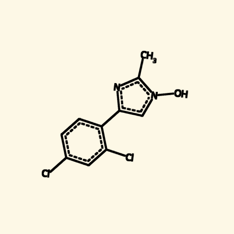 Cc1nc(-c2ccc(Cl)cc2Cl)cn1O